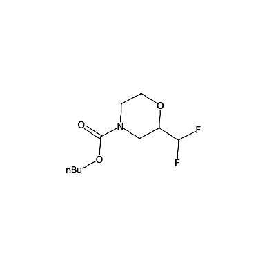 CCCCOC(=O)N1CCOC(C(F)F)C1